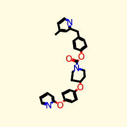 Cc1ccnc(Cc2ccc(OC(=O)N3CCC(Oc4ccc(Oc5ccccn5)cc4)CC3)cc2)c1